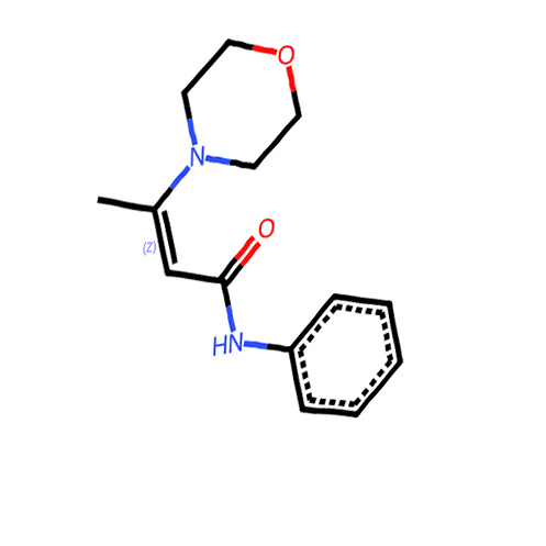 C/C(=C/C(=O)Nc1ccccc1)N1CCOCC1